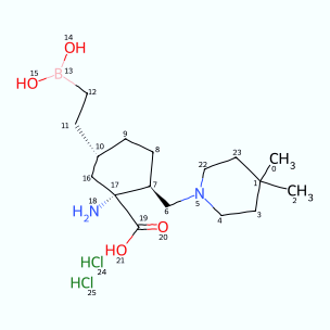 CC1(C)CCN(C[C@@H]2CC[C@@H](CCB(O)O)C[C@]2(N)C(=O)O)CC1.Cl.Cl